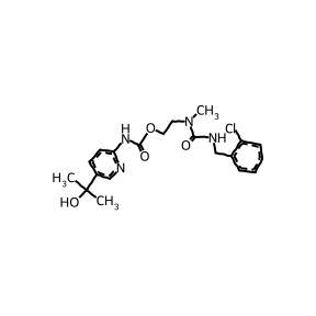 CN(CCOC(=O)Nc1ccc(C(C)(C)O)cn1)C(=O)NCc1ccccc1Cl